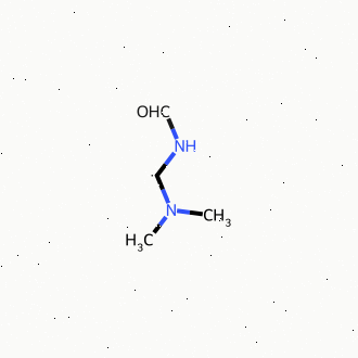 CN(C)[CH]NC=O